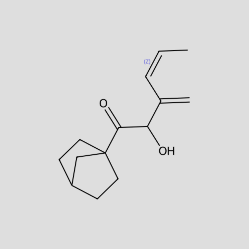 C=C(/C=C\C)C(O)C(=O)C12CCC(CC1)C2